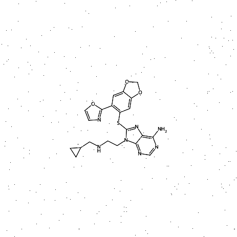 Nc1ncnc2c1nc(Sc1cc3c(cc1-c1ncco1)OCO3)n2CCNCC1CC1